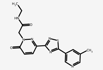 CCNC(=O)Cn1nc(-c2nsc(-c3cncc(C)c3)n2)ccc1=O